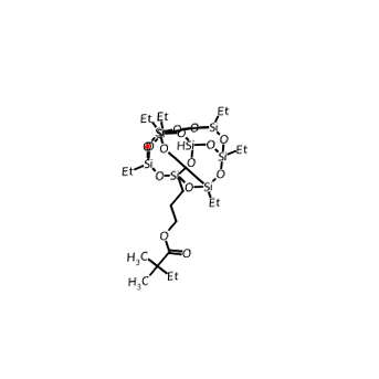 CCC(C)(C)C(=O)OCCC[Si]12O[SiH]3O[Si]4(CC)O[Si]5(CC)O[Si](CC)(O3)O[Si](CC)(O1)O[Si](CC)(O5)O[Si](CC)(O4)O2